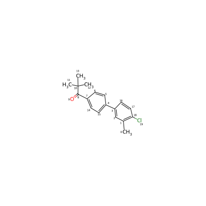 Cc1cc(-c2ccc(C(=O)C(C)(C)C)cc2)ccc1Cl